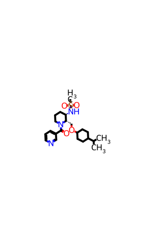 CC(C)C1CCC(OC[C@H]2[C@@H](NS(C)(=O)=O)CCCN2C(=O)c2cccnc2)CC1